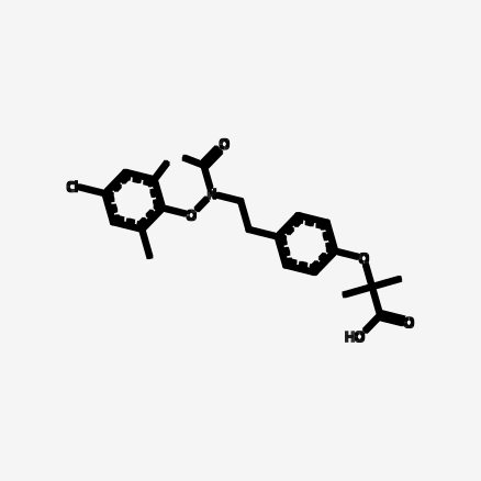 CC(=O)N(CCc1ccc(OC(C)(C)C(=O)O)cc1)Oc1c(C)cc(Cl)cc1C